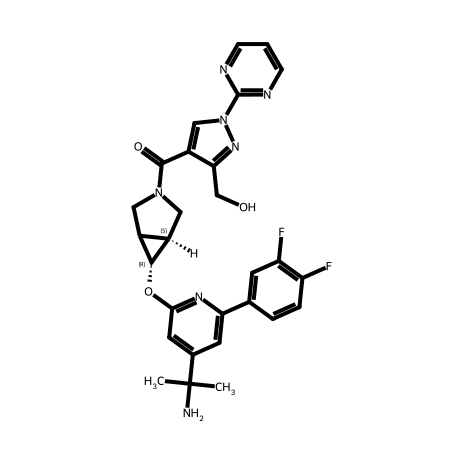 CC(C)(N)c1cc(O[C@@H]2C3CN(C(=O)c4cn(-c5ncccn5)nc4CO)C[C@H]32)nc(-c2ccc(F)c(F)c2)c1